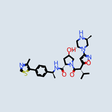 Cc1ncsc1-c1ccc([C@H](C)NC(=O)[C@@H]2C[C@@H](O)CN2C(=O)[C@H](c2cc(N3C[C@H](C)NC[C@H]3C)no2)C(C)C)cc1